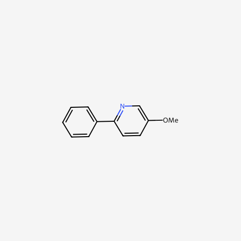 COc1ccc(-c2ccccc2)nc1